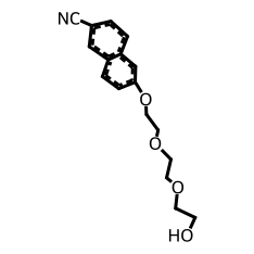 N#Cc1ccc2cc(OCCOCCOCCO)ccc2c1